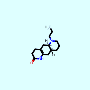 CCCN1CCC[C@@H]2CC3=C(CCC(=O)N3)C[C@H]21